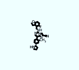 Cc1cc([C@H]2CCCN2)ccc1-c1cnc(NCc2c(F)ccc3c2CCO3)n2cc(C#N)nc12